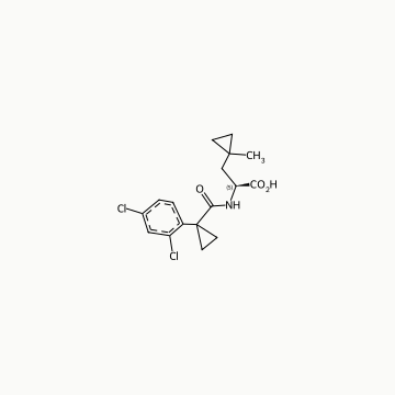 CC1(C[C@H](NC(=O)C2(c3ccc(Cl)cc3Cl)CC2)C(=O)O)CC1